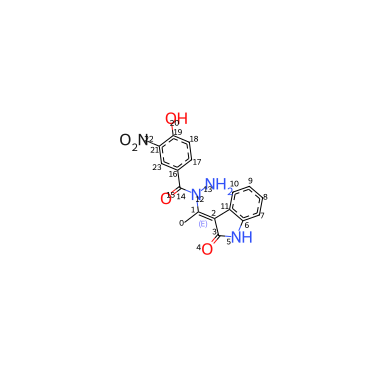 C/C(=C1\C(=O)Nc2ccccc21)N(N)C(=O)c1ccc(O)c([N+](=O)[O-])c1